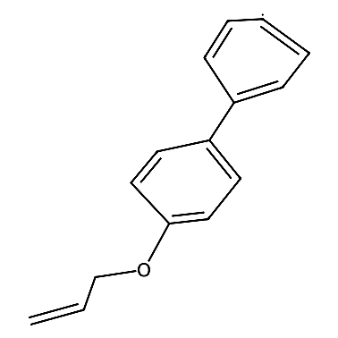 C=CCOc1ccc(-c2cc[c]cc2)cc1